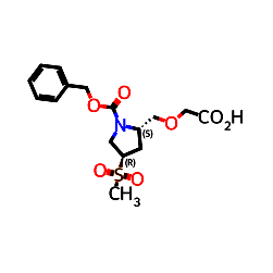 CS(=O)(=O)[C@@H]1C[C@@H](COCC(=O)O)N(C(=O)OCc2ccccc2)C1